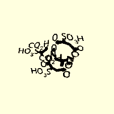 CC1CN2OC(=O)C(S(=O)(=O)O)CC(=O)ON1OC(=O)CC(S(=O)(=O)O)C(=O)O2.O=C(O)CC(C(=O)O)S(=O)(=O)O